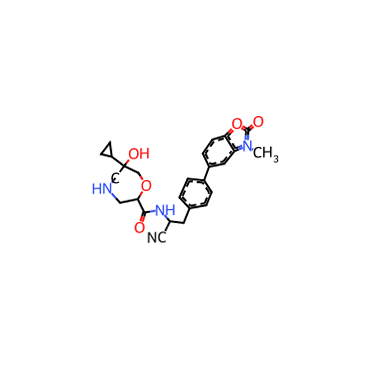 Cn1c(=O)oc2ccc(-c3ccc(CC(C#N)NC(=O)C4CNCC(O)(C5CC5)CO4)cc3)cc21